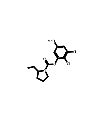 COc1cc(Cl)c(Cl)c(OC(=O)N2CCCC2CI)c1